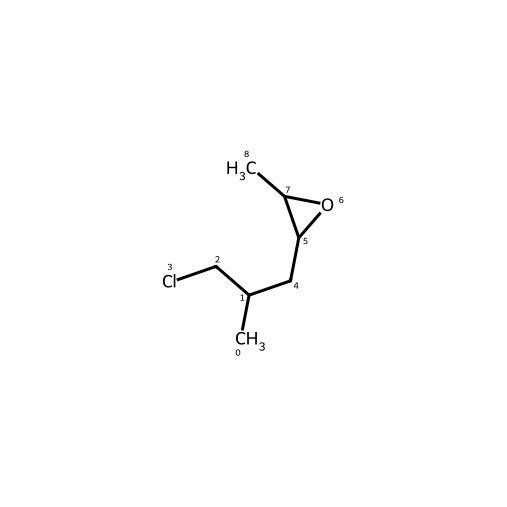 CC(CCl)CC1OC1C